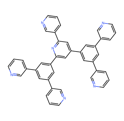 c1cncc(-c2cc(-c3cccnc3)cc(-c3cc(-c4cccnc4)nc(-c4cc(-c5cccnc5)cc(-c5cccnc5)c4)c3)c2)c1